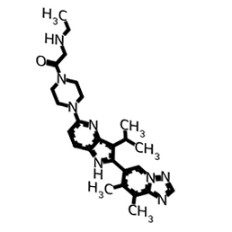 CCNCC(=O)N1CCN(c2ccc3[nH]c(-c4cn5ncnc5c(C)c4C)c(C(C)C)c3n2)CC1